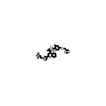 Cc1cc(COCc2cscn2)ccc1C(=O)NC1(c2cc(-c3cnn(CCS(C)(=O)=O)c3)nc3ccccc23)CC1